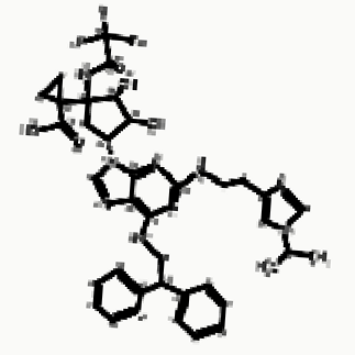 CC(C)n1cnc(CCNc2nc(NCC(c3ccccc3)c3ccccc3)c3ncn([C@@H]4C[C@](NC(=O)C(F)(F)F)(C5(C(=O)O)CC5)[C@@H](O)[C@H]4O)c3n2)c1